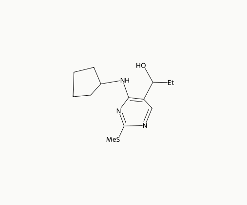 CCC(O)c1cnc(SC)nc1NC1CCCC1